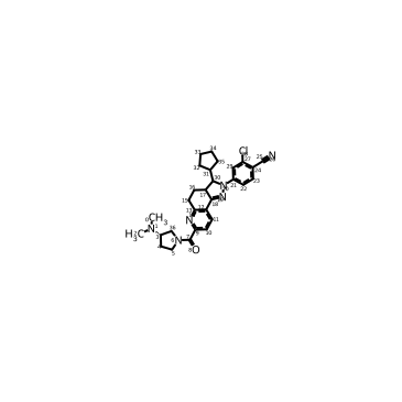 CN(C)[C@H]1CCN(C(=O)c2ccc3c(n2)CCC2C3=NN(c3ccc(C#N)c(Cl)c3)C2C2CCCC2)C1